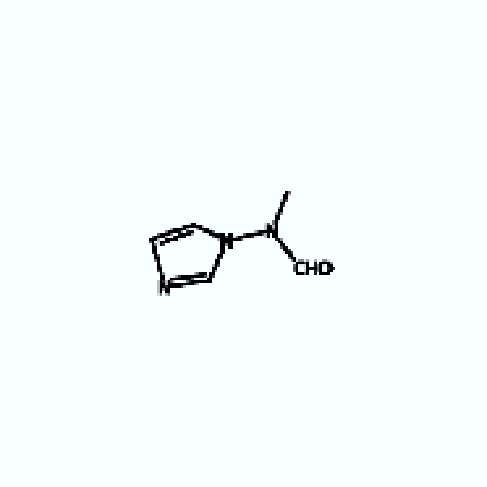 CN([C]=O)n1ccnc1